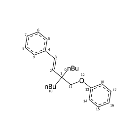 CCCCC(C=Cc1ccccc1)(CCCC)COc1ccccc1